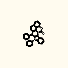 O=C1Oc2cccc3ccc4c(c23)N1c1c(n(-c2ccccc2)c2ccccc12)B4c1ccccc1